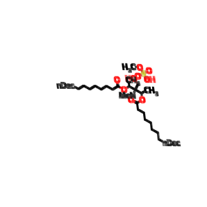 CCCCCCCCCCCCCCCCCC(=O)OC(C)C(CO)(NC)C(C)OC(=O)CCCCCCCCCCCCCCCCC.COS(=O)(=O)O